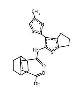 Cc1csc(-c2c(NC(=O)C3=C(C(=O)O)C4CCC3CC4)sc3c2CCC3)n1